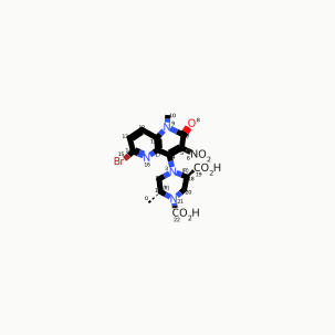 C[C@@H]1CN(c2c([N+](=O)[O-])c(=O)n(C)c3ccc(Br)nc23)[C@@H](C(=O)O)CN1C(=O)O